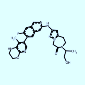 Cc1c(-c2cc3cc(Nc4cc5n(n4)CC(=O)N(C(C)CO)CC5)ncc3cc2F)cnc2c1NCCO2